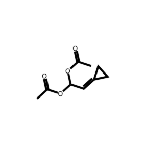 CC(=O)OC(C=C1CC1)OC(C)=O